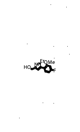 CCn1nc(CO)cc1-c1ccc(F)cc1OC